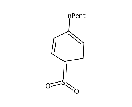 CCCCCC1=[C]CC(=S(=O)=O)C=C1